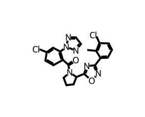 Cc1c(Cl)cccc1-c1noc(C2CCCN2C(=O)c2ccc(Cl)cc2-n2nccn2)n1